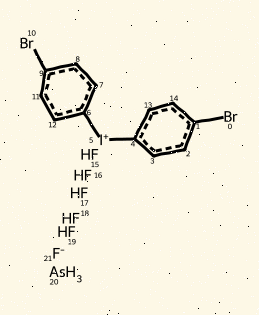 Brc1ccc([I+]c2ccc(Br)cc2)cc1.F.F.F.F.F.[AsH3].[F-]